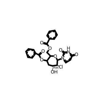 O=C(OCC1OC(n2ccc(=O)[nH]c2=O)[C@H](Cl)[C@H](O)CC1OC(=O)c1ccccc1)c1ccccc1